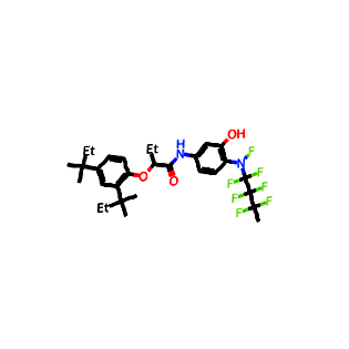 CCC(Oc1ccc(C(C)(C)CC)cc1C(C)(C)CC)C(=O)Nc1ccc(N(F)C(F)(F)C(F)(F)C(C)(F)F)c(O)c1